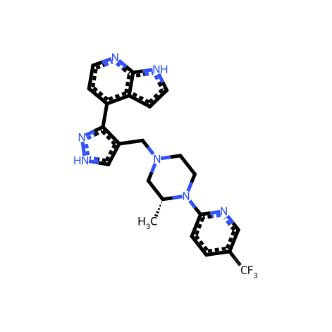 C[C@@H]1CN(Cc2c[nH]nc2-c2ccnc3[nH]ccc23)CCN1c1ccc(C(F)(F)F)cn1